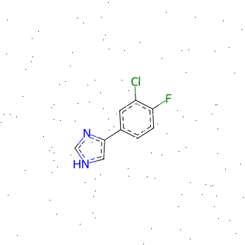 Fc1ccc(-c2c[nH]cn2)cc1Cl